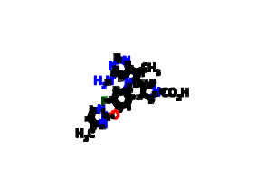 Cc1ccnc(Oc2ccc(-n3c(C4=CN(C(=O)O)CC4)c(C)c4ncnc(N)c43)cc2F)n1